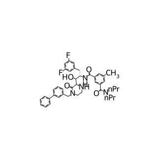 CCCN(CCC)C(=O)c1cc(C)cc(C(=O)N[C@@H](Cc2cc(F)cc(F)c2)[C@H](O)[C@H]2NCCN(Cc3cccc(-c4ccccc4)c3)C2=O)c1